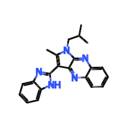 Cc1c(-c2nc3ccccc3[nH]2)c2nc3ccccc3nc2n1CC(C)C